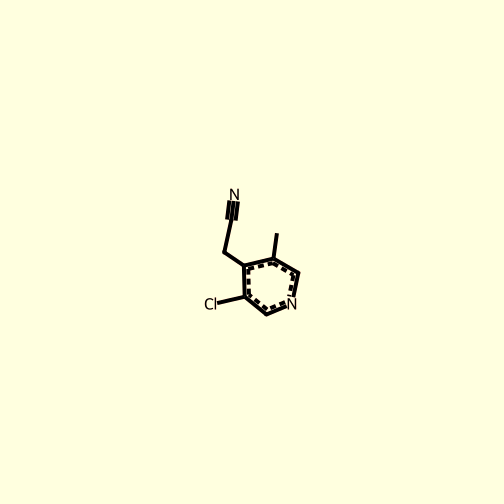 Cc1cncc(Cl)c1CC#N